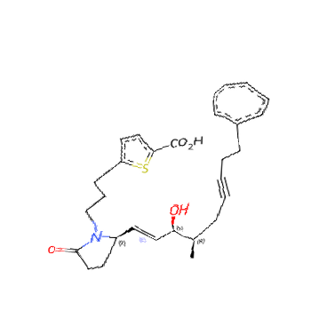 C[C@H](CC#CCCc1ccccc1)[C@H](O)/C=C/[C@H]1CCC(=O)N1CCCc1ccc(C(=O)O)s1